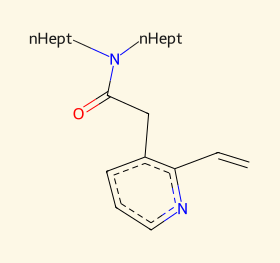 C=Cc1ncccc1CC(=O)N(CCCCCCC)CCCCCCC